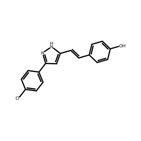 Oc1ccc(C=Cc2cc(-c3ccc(Cl)cc3)n[nH]2)cc1